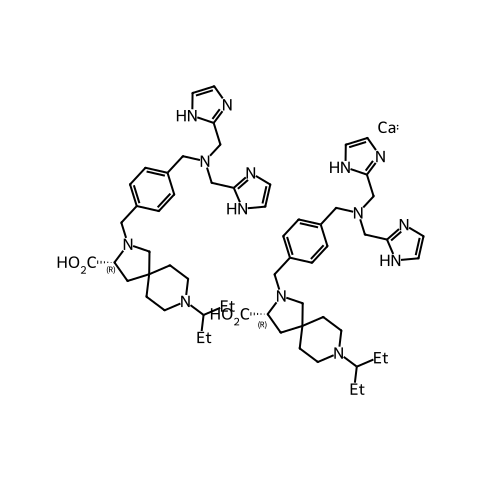 CCC(CC)N1CCC2(CC1)C[C@H](C(=O)O)N(Cc1ccc(CN(Cc3ncc[nH]3)Cc3ncc[nH]3)cc1)C2.CCC(CC)N1CCC2(CC1)C[C@H](C(=O)O)N(Cc1ccc(CN(Cc3ncc[nH]3)Cc3ncc[nH]3)cc1)C2.[Ca]